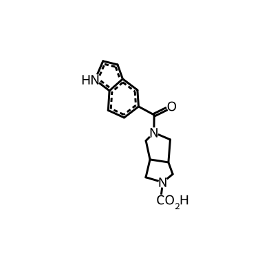 O=C(O)N1CC2CN(C(=O)c3ccc4[nH]ccc4c3)CC2C1